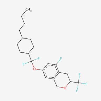 CCCCC1CCC(C(F)(F)Oc2cc(F)c3c(c2)COC(C(F)(F)F)C3)CC1